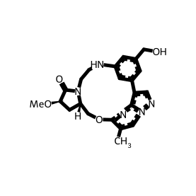 CO[C@@H]1C[C@H]2COc3nc4c(cnn4cc3C)-c3cc(CO)cc(c3)NCCN2C1=O